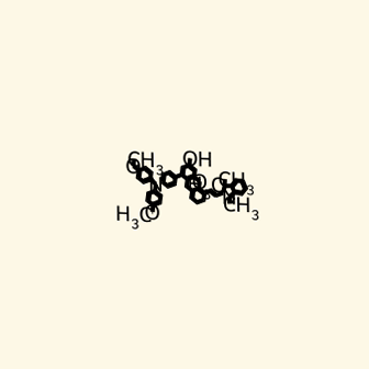 COc1ccc(N(c2ccc(OC)cc2)c2ccc(-c3cc(O)cc4c3CC3=CCCC(C=CC5N(C)c6ccccc6C5(C)C)=C3O4)cc2)cc1